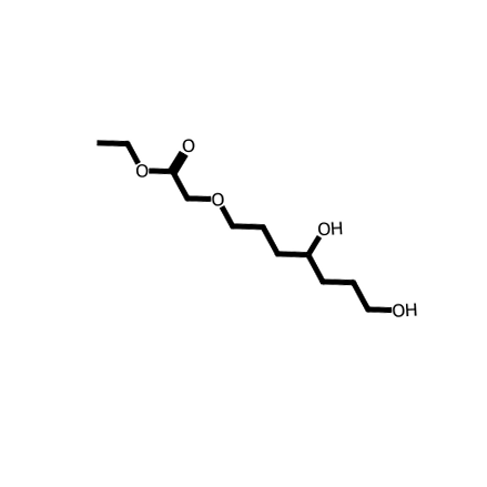 CCOC(=O)COCCCC(O)CCCO